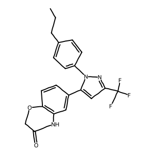 CCCc1ccc(-n2nc(C(F)(F)F)cc2-c2ccc3c(c2)NC(=O)CO3)cc1